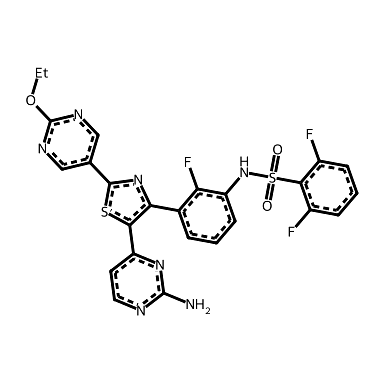 CCOc1ncc(-c2nc(-c3cccc(NS(=O)(=O)c4c(F)cccc4F)c3F)c(-c3ccnc(N)n3)s2)cn1